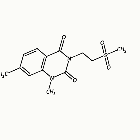 Cc1ccc2c(=O)n(CCS(C)(=O)=O)c(=O)n(C)c2c1